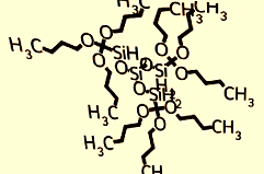 CCCCOC(OCCCC)(OCCCC)[SiH2]O[Si](O[SiH2]C(OCCCC)(OCCCC)OCCCC)O[SiH2]C(OCCCC)(OCCCC)OCCCC